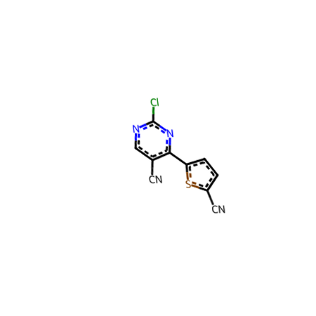 N#Cc1ccc(-c2nc(Cl)ncc2C#N)s1